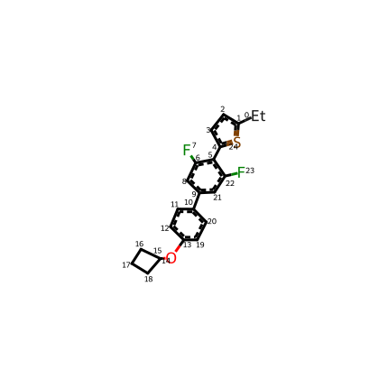 CCc1ccc(-c2c(F)cc(-c3ccc(OC4CCC4)cc3)cc2F)s1